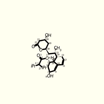 CC(C)C(C(=O)O[C@H]1C[C@H](O)C=C2C=CC[C@@H]([C@@H](C)C[C@@H]3C[C@@H](O)CC(=O)O3)[C@H]21)C(C)C